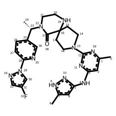 Cc1cc(Nc2cc(C)[nH]n2)nc(N2CCC3(CC2)NCCN([C@@H](C)c2ccc(-n4cc(F)cn4)nc2)C3=O)n1